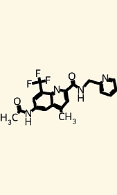 CC(=O)Nc1cc(C(F)(F)F)c2nc(C(=O)NCc3ccccn3)cc(C)c2c1